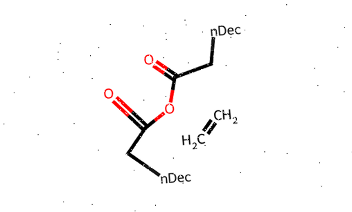 C=C.CCCCCCCCCCCC(=O)OC(=O)CCCCCCCCCCC